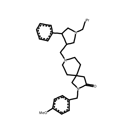 COc1ccc(CN2CC3(CCN(CC4CN(CC(C)C)CC4c4ccccc4)CC3)CC2=O)cc1